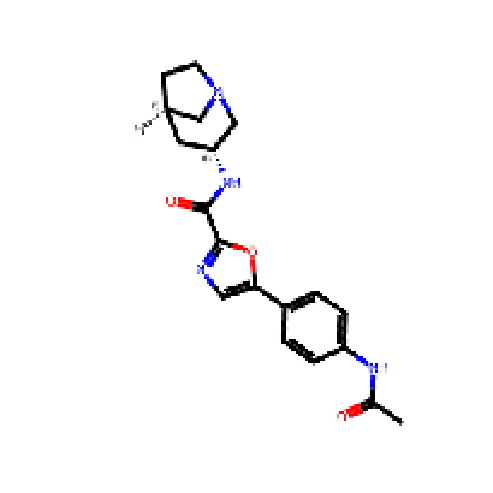 CC(=O)Nc1ccc(-c2cnc(C(=O)N[C@@H]3C[C@H]4CCN(C4)C3)o2)cc1